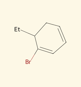 CCC1CC=CC=C1Br